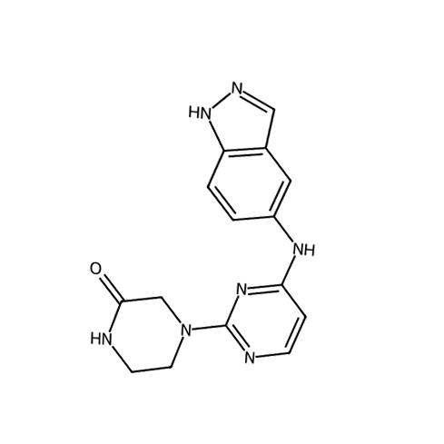 O=C1CN(c2nccc(Nc3ccc4[nH]ncc4c3)n2)CCN1